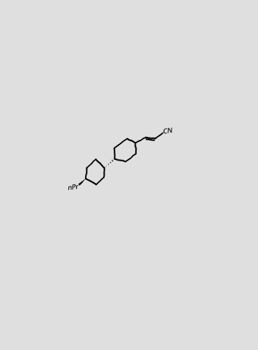 CCC[C@H]1CC[C@H](C2CCC(C=CC#N)CC2)CC1